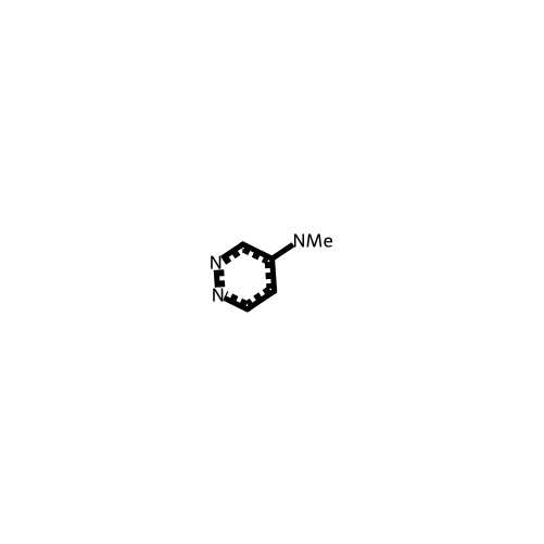 [CH2]Nc1ccnnc1